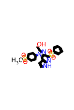 CS(=O)(=O)C1CCC(n2c(CO)nc3c(S(=O)(=O)c4ccccc4)nc4[nH]ccc4c32)CC1